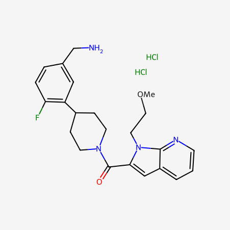 COCCn1c(C(=O)N2CCC(c3cc(CN)ccc3F)CC2)cc2cccnc21.Cl.Cl